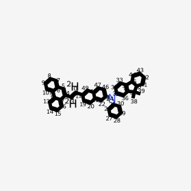 [2H]/C(=C(/[2H])c1cc2ccccc2c2ccccc12)c1ccc2cc(N(c3ccccc3)c3ccc4c(c3)C(C)(C)C3C=CC=CC43)ccc2c1